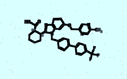 Cc1cnc(COc2ccc3nc([C@H]4CCCC[C@H]4C(=O)O)n(Cc4ccc(-c5ccc(C(F)(F)F)cc5)cc4)c3c2)cn1